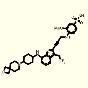 COc1cc(S(N)(=O)=O)ccc1NCC#Cc1sc2c(NC3CCC(N4CCC5(CC4)COC5)CC3)cccc2c1CC(F)(F)F